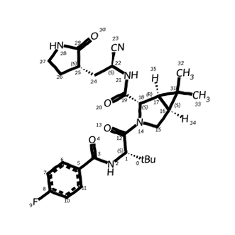 CC(C)(C)[C@H](NC(=O)c1ccc(F)cc1)C(=O)N1C[C@H]2[C@@H]([C@H]1C(=O)N[C@H](C#N)C[C@@H]1CCNC1=O)C2(C)C